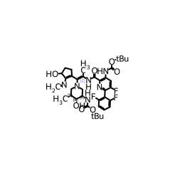 C=NC1=C(/C(=C(\C)NC(=O)c2nc(-c3c(F)cccc3F)c(F)cc2NC(=O)OC(C)(C)C)N2C[C@H](C)[C@@H](O)[C@H](NC(=O)OC(C)(C)C)C2)CCC1O